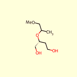 COCC(C)O[C@@H](CO)CCO